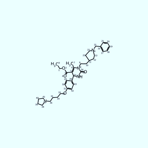 CCOC(=O)C1=C(C)N(CCC2CCN(Cc3ccccc3)CC2)C(=O)NC1c1ccc(OCCCCN2CCCC2)cc1